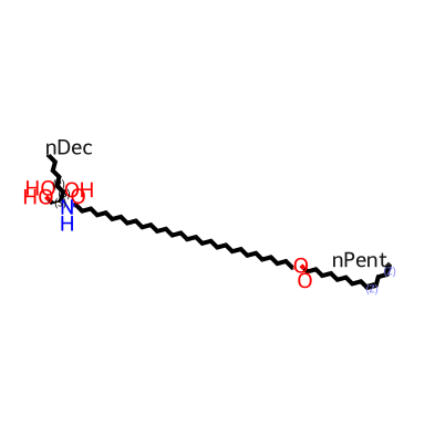 CCCCC/C=C\C/C=C\CCCCCCCC(=O)OCCCCCCCCCCCCCCCCCCCCCCCCCCCCCC(=O)N[C@@H](CO)[C@H](O)[C@H](O)CCCCCCCCCCCCCC